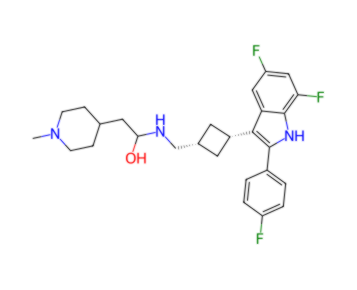 CN1CCC(CC(O)NC[C@H]2C[C@@H](c3c(-c4ccc(F)cc4)[nH]c4c(F)cc(F)cc43)C2)CC1